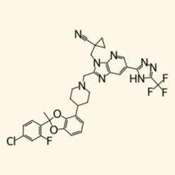 CC1(c2ccc(Cl)cc2F)Oc2cccc(C3CCN(Cc4nc5cc(-c6nnc(C(F)(F)F)[nH]6)cnc5n4CC4(C#N)CC4)CC3)c2O1